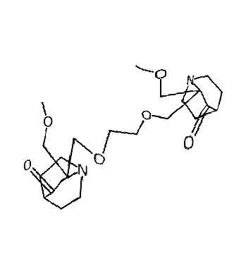 COCC1(COCCOCC2(COC)C(=O)C3CCN2CC3)C(=O)C2CCN1CC2